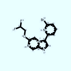 FC(F)COc1cn2c(-c3cccc(Br)n3)cnc2cn1